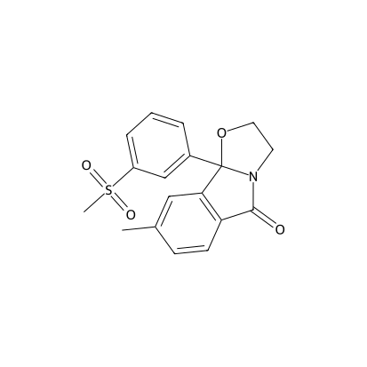 Cc1ccc2c(c1)C1(c3cccc(S(C)(=O)=O)c3)OCCN1C2=O